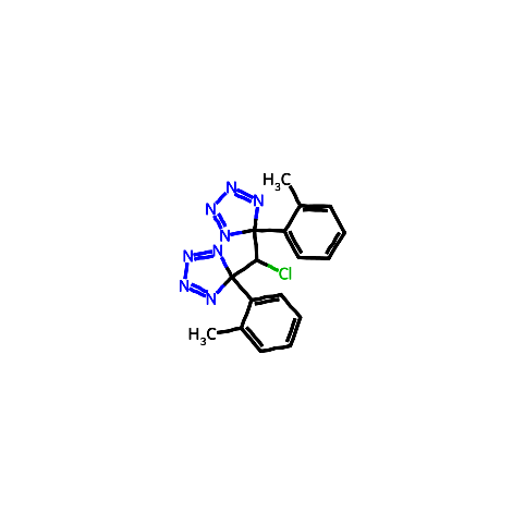 Cc1ccccc1C1(C(Cl)C2(c3ccccc3C)N=NN=N2)N=NN=N1